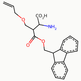 C=CCOCC(C(=O)OCC1c2ccccc2-c2ccccc21)C(N)C(=O)O